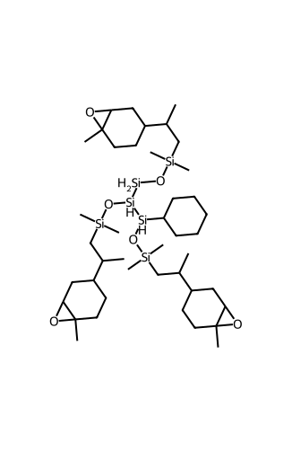 CC(C[Si](C)(C)O[SiH2][SiH](O[Si](C)(C)CC(C)C1CCC2(C)OC2C1)[SiH](O[Si](C)(C)CC(C)C1CCC2(C)OC2C1)C1CCCCC1)C1CCC2(C)OC2C1